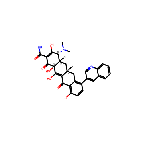 CN(C)[C@H]1C(O)=C(C(N)=O)C(=O)[C@@]2(O)C(O)=C3C(=O)c4c(O)ccc(-c5cnc6ccccc6c5)c4C[C@H]3C[C@@H]12